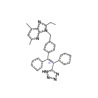 CCc1nc2c(C)cc(C)nc2n1Cc1ccc(/C(=C(\c2ccccc2)c2nnn[nH]2)c2ccccc2)cc1